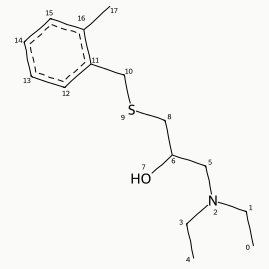 CCN(CC)CC(O)CSCc1ccccc1C